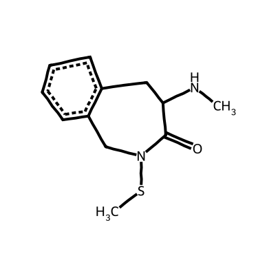 CNC1Cc2ccccc2CN(SC)C1=O